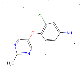 Cc1ncc(Oc2ccc([NH])cc2Cl)cn1